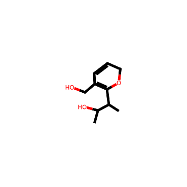 CC(O)C(C)C1=C(CO)C=CCO1